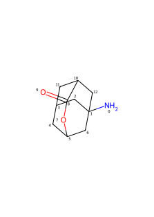 NC12CC3CC(C1)OC(=O)C(C3)C2